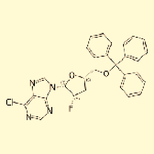 F[C@H]1C[C@@H](COC(c2ccccc2)(c2ccccc2)c2ccccc2)O[C@H]1n1cnc2c(Cl)ncnc21